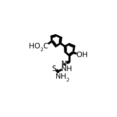 NC(=S)NN=Cc1cc(-c2cccc(C(=O)O)c2)ccc1O